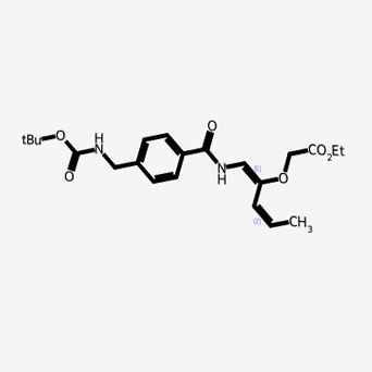 C/C=C\C(=C/NC(=O)c1ccc(CNC(=O)OC(C)(C)C)cc1)OCC(=O)OCC